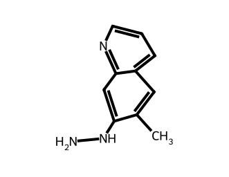 Cc1cc2cccnc2cc1NN